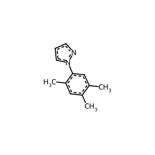 Cc1cc(C)c(-n2cccn2)cc1C